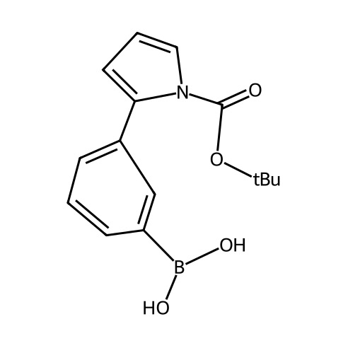 CC(C)(C)OC(=O)n1cccc1-c1cccc(B(O)O)c1